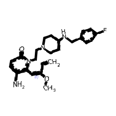 C=C/C(=C\c1c(N)ccc(=O)n1CCN1CCC(NCc2ccc(F)cc2)CC1)OC